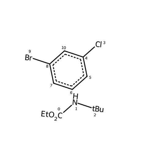 CCOC(=O)NC(C)(C)C.Clc1cccc(Br)c1